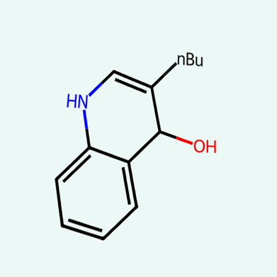 CCCCC1=CNc2ccccc2C1O